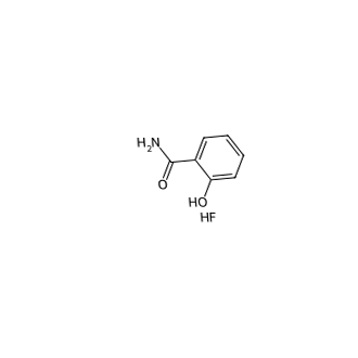 F.NC(=O)c1ccccc1O